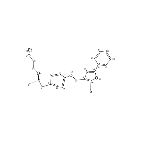 CCOCCO[C@@H](C)Cc1ccc(OCc2nc(-c3ccccc3)oc2C)cc1